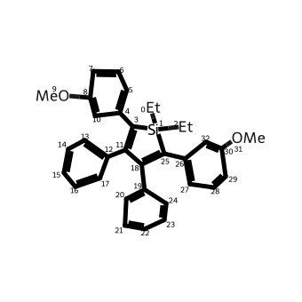 CC[Si]1(CC)C(c2cccc(OC)c2)=C(c2ccccc2)C(c2ccccc2)=C1c1cccc(OC)c1